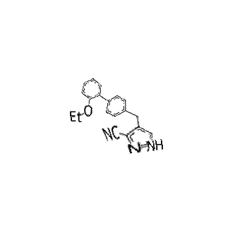 CCOc1ccccc1-c1ccc(Cc2c[nH]nc2C#N)cc1